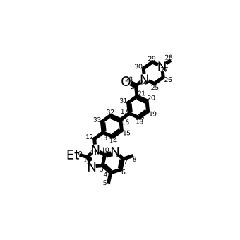 CCc1nc2c(C)cc(C)nc2n1Cc1ccc(-c2[c]ccc(C(=O)N3CCN(C)CC3)c2)cc1